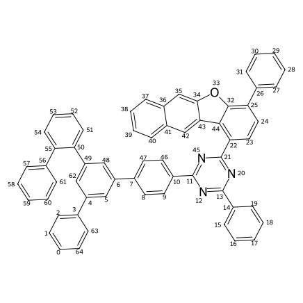 c1ccc(-c2cc(-c3ccc(-c4nc(-c5ccccc5)nc(-c5ccc(-c6ccccc6)c6oc7cc8ccccc8cc7c56)n4)cc3)cc(-c3ccccc3-c3ccccc3)c2)cc1